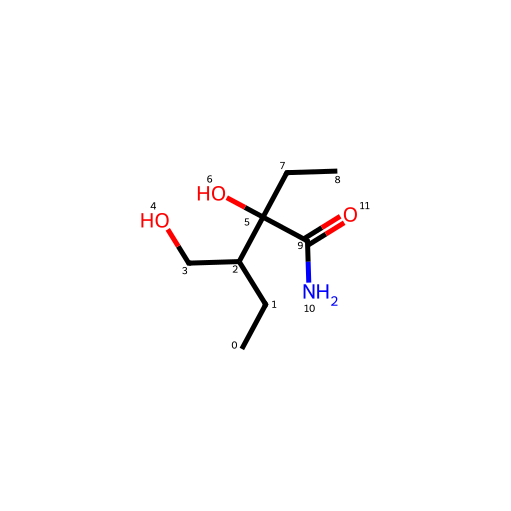 CCC(CO)C(O)(CC)C(N)=O